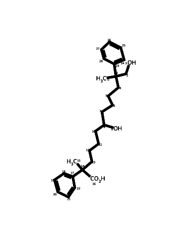 CC(CO)(CCCCC(O)CCCCC(C)(C(=O)O)c1ccccc1)c1ccccc1